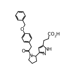 O=C(O)CCc1cc(C2CCCN2C(=O)Cc2ccc(OCc3ccccc3)cc2)n[nH]1